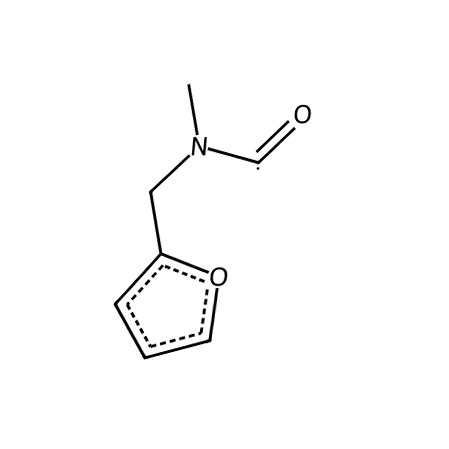 CN([C]=O)Cc1ccco1